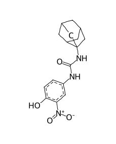 O=C(Nc1ccc(O)c([N+](=O)[O-])c1)NC12CC3CC(CC1C3)C2